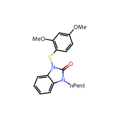 CCCCCn1c(=O)n(Sc2ccc(OC)cc2OC)c2ccccc21